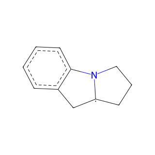 c1ccc2c(c1)C[C]1CCCN12